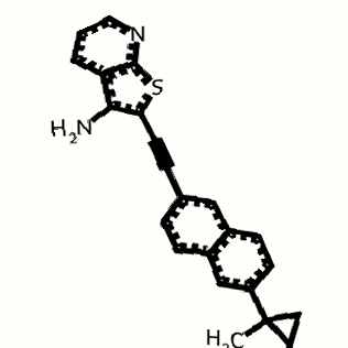 CC1(c2ccc3cc(C#Cc4sc5ncccc5c4N)ccc3c2)CC1